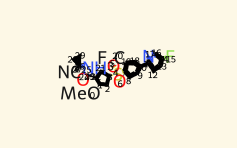 CO[C@H]1C[C@@H](S(=O)(=O)c2ccc(-c3ccc(F)cn3)cc2C(F)(F)F)C[C@@H]1C(=O)NC1(C#N)CC1